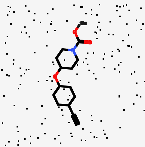 C#CC1CCC(OC2CCN(C(=O)OC(C)(C)C)CC2)CC1